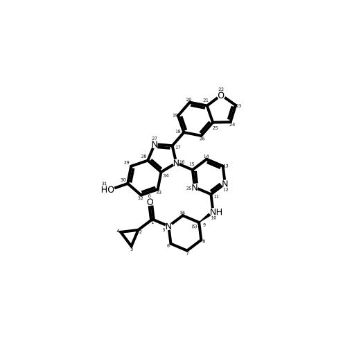 O=C(C1CC1)N1CCC[C@H](Nc2nccc(-n3c(-c4ccc5occc5c4)nc4cc(O)ccc43)n2)C1